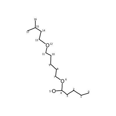 CCCCC([O])OCCCCCOCCC(C)C